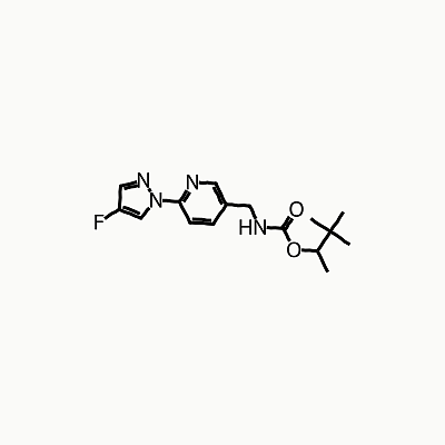 CC(OC(=O)NCc1ccc(-n2cc(F)cn2)nc1)C(C)(C)C